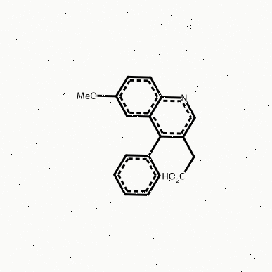 COc1ccc2ncc(CC(=O)O)c(-c3ccccc3)c2c1